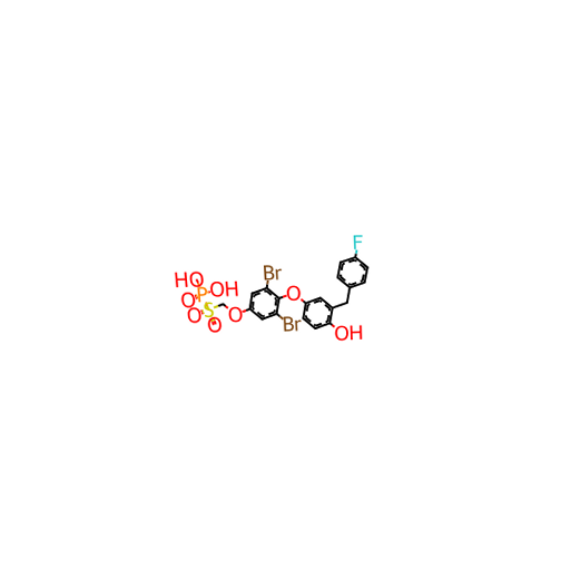 O=P(O)(O)S(=O)(=O)COc1cc(Br)c(Oc2ccc(O)c(Cc3ccc(F)cc3)c2)c(Br)c1